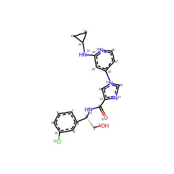 O=C(N[C@H](CO)c1cccc(Cl)c1)c1cn(-c2ccnc(NC3CC3)c2)cn1